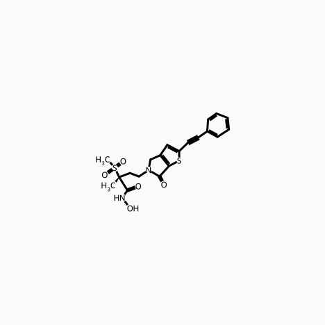 C[C@@](CCN1Cc2cc(C#Cc3ccccc3)sc2C1=O)(C(=O)NO)S(C)(=O)=O